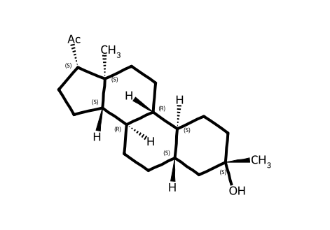 CC(=O)[C@H]1CC[C@H]2[C@@H]3CC[C@H]4C[C@@](C)(O)CC[C@@H]4[C@H]3CC[C@]12C